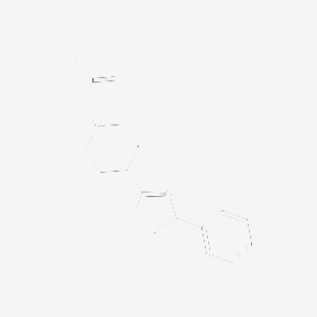 CC(C)(C)C(=O)ON1CCC(c2nc(-c3ccccc3)cs2)CC1